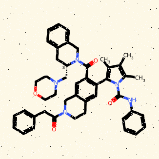 Cc1c(C)c(-c2cc3c(cc2C(=O)N2Cc4ccccc4C[C@H]2CN2CCOCC2)CN(C(=O)Cc2ccccc2)CC3)n(C(=O)Nc2ccccc2)c1C